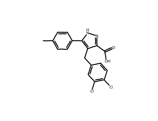 Cc1ccc(-c2[nH]nc(C(=O)O)c2Cc2ccc(Cl)c(Cl)c2)cc1